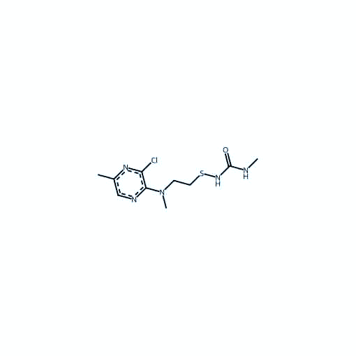 CNC(=O)NSCCN(C)c1ncc(C)nc1Cl